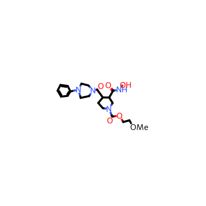 COCCOC(=O)N1CCC(C(=O)N2CCN(c3ccccc3)CC2)C(C(=O)NO)C1